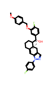 COc1ccc(COc2cc([C@H](O)C3CCCC4=Cc5c(cnn5-c5ccc(F)cc5)C[C@@]43C)ccc2F)cc1